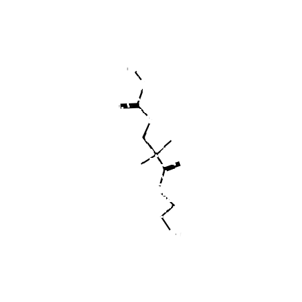 CC(C)OC(=O)NCC(C)(C)C(=O)SCCO